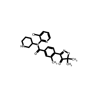 Cc1cc(C(=O)N(c2ncccc2Cl)C2CCCNC2)ccc1C1=NOC(C)(C)C1=O